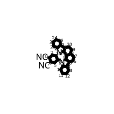 N#Cc1cc2c(cc1C#N)n1c3ccccc3c3ccc4ccc5c6ccccc6n2c5c4c31